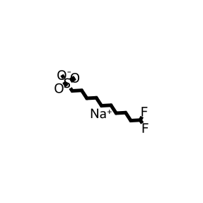 O=S(=O)([O-])CCCCCCCCCC(F)F.[Na+]